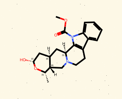 COC(=O)n1c2c(c3ccccc31)CCN1C[C@H]3[C@@H](C[C@@H](O)O[C@H]3C)C[C@@H]21